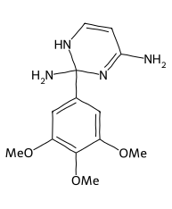 COc1cc(C2(N)N=C(N)C=CN2)cc(OC)c1OC